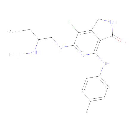 COCC(CNc1nc(Nc2ccc(C)cc2)c2c(c1F)CNC2=O)NC(=O)O